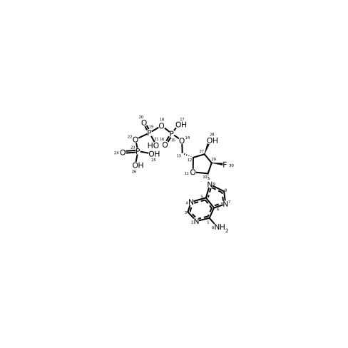 Nc1ncnc2c1ncn2[C@@H]1O[C@H](COP(=O)(O)OP(=O)(O)OP(=O)(O)O)[C@@H](O)[C@H]1F